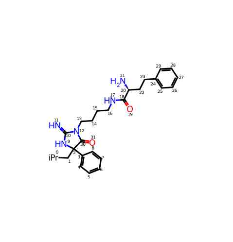 CC(C)CC1(c2ccccc2)NC(=N)N(CCCCNC(=O)[C@@H](N)CCc2ccccc2)C1=O